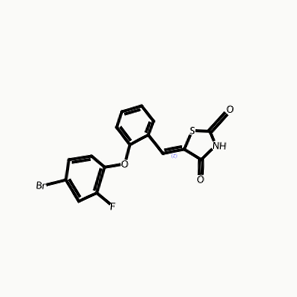 O=C1NC(=O)/C(=C/c2ccccc2Oc2ccc(Br)cc2F)S1